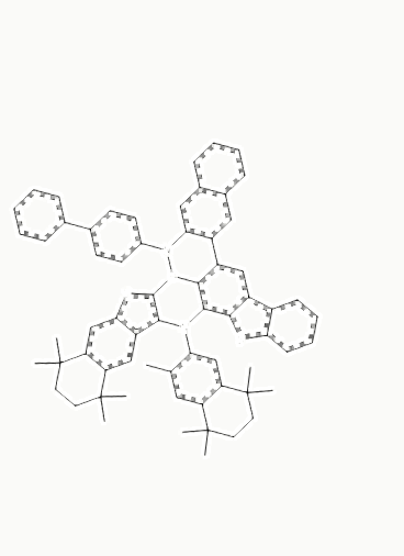 Cc1cc2c(cc1N1c3c(sc4cc5c(cc34)C(C)(C)CCC5(C)C)B3c4c(cc5c(sc6ccccc65)c41)-c1cc4ccccc4cc1N3c1ccc(-c3ccccc3)cc1)C(C)(C)CCC2(C)C